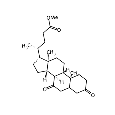 COC(=O)CC[C@@H](C)[C@H]1CC[C@H]2[C@@H]3C(=O)CC4CC(=O)CC[C@]4(C)[C@H]3CC[C@]12C